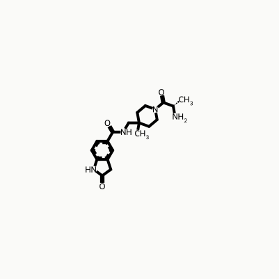 C[C@H](N)C(=O)N1CCC(C)(CNC(=O)c2ccc3c(c2)CC(=O)N3)CC1